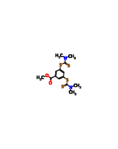 COC(=O)c1cc(SC(=S)N(C)C)cc(SC(=S)N(C)C)c1